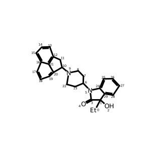 CCC1(O)C(=O)N(C2CCN(C3Cc4cccc5cccc3c45)CC2)c2ccccc21